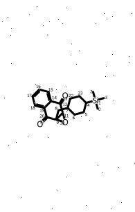 C[Si](C)(C)C1CCC(CC23OC2C(=O)c2ccccc2C3=O)CC1